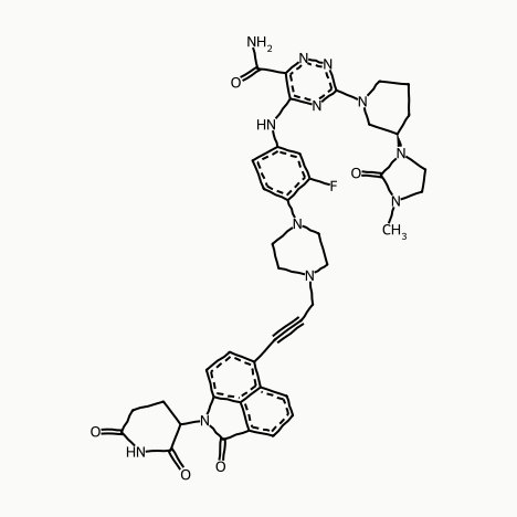 CN1CCN([C@@H]2CCCN(c3nnc(C(N)=O)c(Nc4ccc(N5CCN(CC#Cc6ccc7c8c(cccc68)C(=O)N7C6CCC(=O)NC6=O)CC5)c(F)c4)n3)C2)C1=O